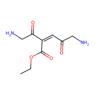 CCOC(=O)/C(=C\C(=O)CN)C(=O)CN